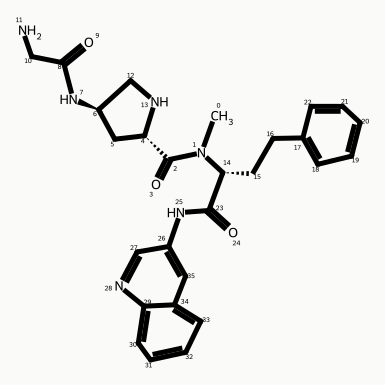 CN(C(=O)[C@@H]1C[C@@H](NC(=O)CN)CN1)[C@H](CCc1ccccc1)C(=O)Nc1cnc2ccccc2c1